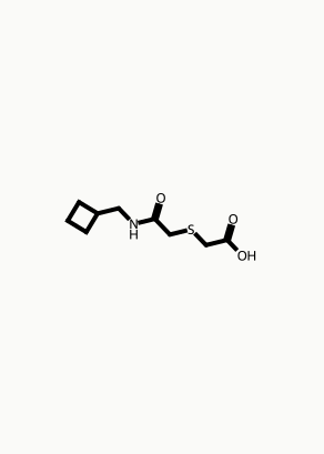 O=C(O)CSCC(=O)NCC1CCC1